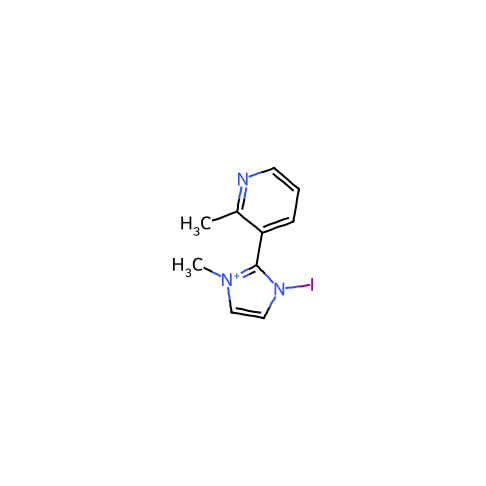 Cc1ncccc1-c1n(I)cc[n+]1C